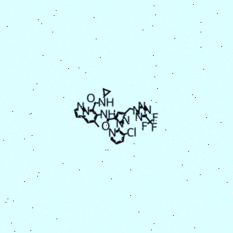 Cc1cc2ccnn2c(C(=O)NC2CC2)c1NC(=O)c1cc(Cn2nnc(C(F)(F)F)n2)nn1-c1ncccc1Cl